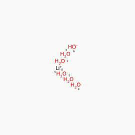 O.O.O.O.O.[Li+].[OH-]